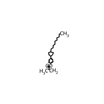 C=C(C)C(=O)Oc1ccc(C2CCC(CCCCCCCCCC)CC2)cc1